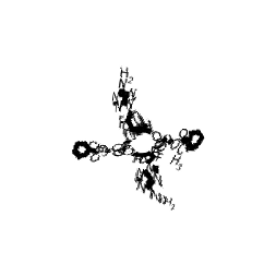 CC1(C(=O)OCOP2(=O)CO[C@H]3[C@@H](F)[C@H](n4cnc5c(N)ncnc54)O[C@@H]3COP(=O)(OCOC(=O)C3(C)CCCCC3)O[C@H]3[C@@H](F)[C@H](n4cnc5c(N)ncnc54)O[C@@H]3CO2)CCCCC1